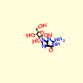 Nc1nc2c(ncn2[C@]2(O)O[C@H](CO)[C@@H](O)[C@H]2O)c(=O)[nH]1